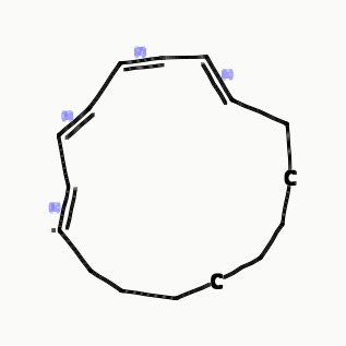 [C]1=C/C=C/C=C\C=C\CCCCCCCC/1